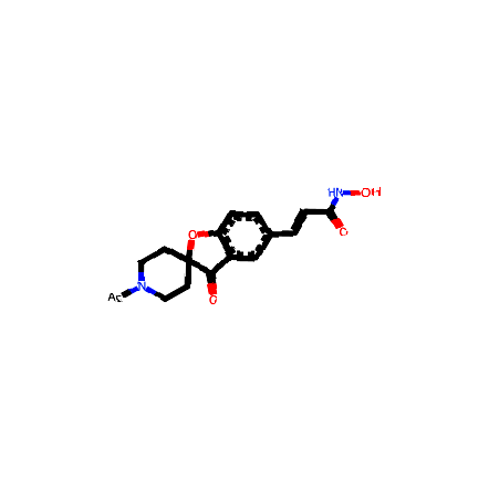 CC(=O)N1CCC2(CC1)Oc1ccc(/C=C/C(=O)NO)cc1C2=O